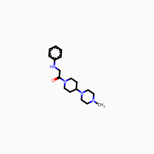 CN1CCN(C2CCN(C(=O)CNc3ccccc3)CC2)CC1